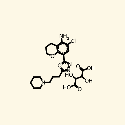 Nc1c(Cl)cc(-c2nnc(CCCN3CCCCC3)o2)c2c1CCCO2.O=C(O)C(O)C(O)C(=O)O